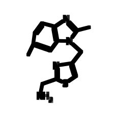 Cc1ccc2nc(C)n(Cc3csc(CN)n3)c2c1